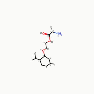 CC1CCC(C(C)C)C(OCCOC(=O)[C@H](C)N)C1